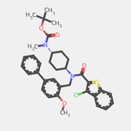 COc1ccc(-c2ccccc2)cc1CN(C(=O)c1sc2ccccc2c1Cl)[C@H]1CC[C@H](N(C)C(=O)OC(C)(C)C)CC1